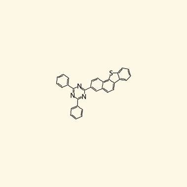 c1ccc(-c2nc(-c3ccccc3)nc(-c3ccc4c(ccc5c6ccccc6sc45)c3)n2)cc1